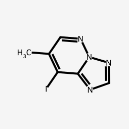 Cc1cnn2ncnc2c1I